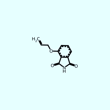 C=CCOc1cccc2c1C(=O)NC2=O